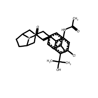 CC(=O)Nc1cc(Cl)c(C(C)(C)O)cc1C=CC(=O)N1C2CCC1CN(Cc1ccc(F)cc1)C2